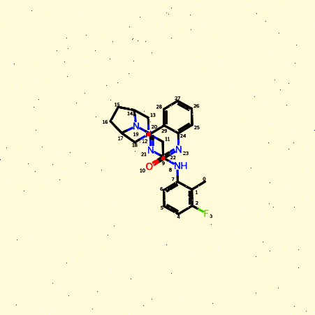 Cc1c(F)cccc1NC(=O)CN1CC2CCC(C1)N2c1ncnc2ccccc12